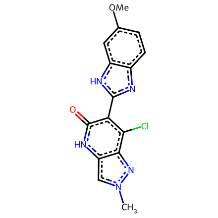 COc1ccc2nc(-c3c(Cl)c4nn(C)cc4[nH]c3=O)[nH]c2c1